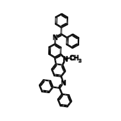 Cn1c2cc(N=C(c3ccccc3)c3ccccc3)ccc2c2ccc(N=C(c3ccccc3)c3ccccc3)cc21